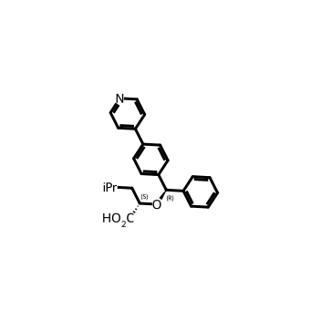 CC(C)C[C@H](O[C@H](c1ccccc1)c1ccc(-c2ccncc2)cc1)C(=O)O